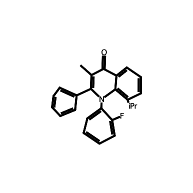 Cc1c(-c2ccccc2)n(-c2ccccc2F)c2c(C(C)C)cccc2c1=O